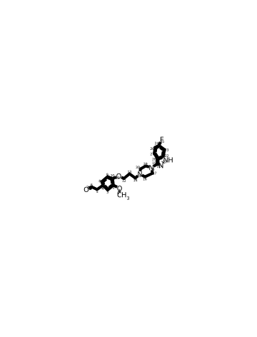 COc1cc(CC=O)ccc1OCCCN1CCN(c2n[nH]c3cc(F)ccc23)CC1